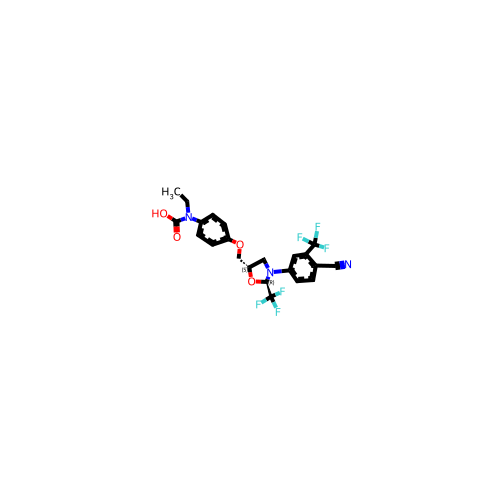 CCN(C(=O)O)c1ccc(OC[C@@H]2CN(c3ccc(C#N)c(C(F)(F)F)c3)[C@@H](C(F)(F)F)O2)cc1